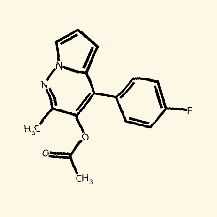 CC(=O)Oc1c(C)nn2cccc2c1-c1ccc(F)cc1